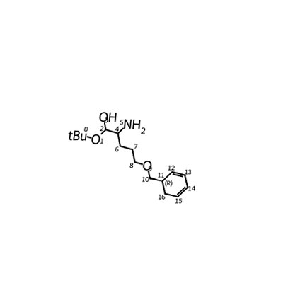 CC(C)(C)OC(O)C(N)CCCOC[C@H]1C=CC=CC1